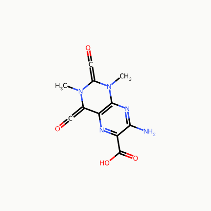 CN1C(=C=O)c2nc(C(=O)O)c(N)nc2N(C)C1=C=O